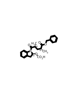 C[C@H](C[C@@H](C)C(=O)N1c2ccccc2C[C@@H]1OC(=O)O)C(=O)OCc1ccccc1